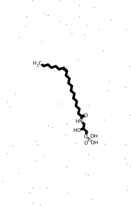 CCCCCC/C=C\CCCCCCCCCCCC(=O)NCC(O)COP(=O)(O)O